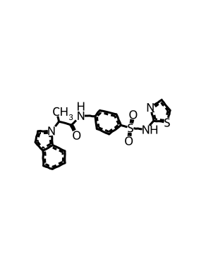 CC(C(=O)Nc1ccc(S(=O)(=O)Nc2nccs2)cc1)n1ccc2ccccc21